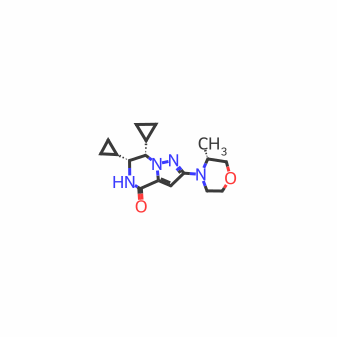 C[C@@H]1COCCN1c1cc2n(n1)[C@@H](C1CC1)[C@@H](C1CC1)NC2=O